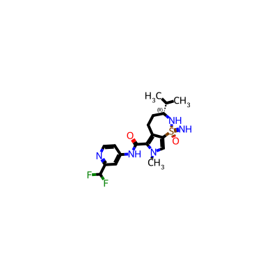 CC(C)[C@H]1CCc2c(cn(C)c2C(=O)Nc2ccnc(C(F)F)c2)S(=N)(=O)N1